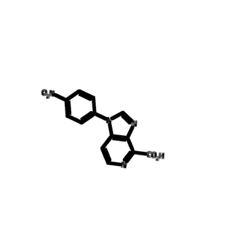 O=C(O)c1nccc2c1ncn2-c1ccc([N+](=O)[O-])cc1